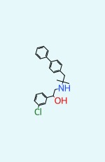 CC(C)(Cc1ccc(-c2ccccc2)cc1)NCC(O)c1cccc(Cl)c1